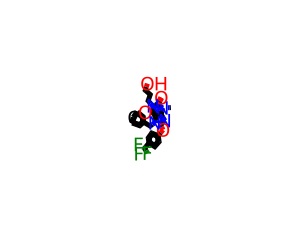 Cn1c(=O)n(CCCO)c(=O)c2c1nc(Oc1ccc(C(F)(F)F)cc1)n2Cc1ccccc1